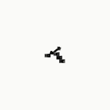 C[C](=O)[Zr].Cl.Cl.Cl.Cl